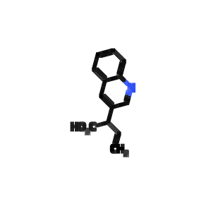 C=CC(C(=O)O)c1cnc2ccccc2c1